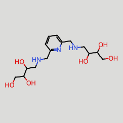 OCC(O)C(O)CNCc1cccc(CNCC(O)C(O)CO)n1